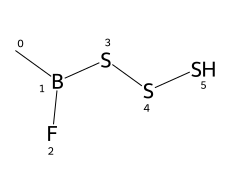 CB(F)SSS